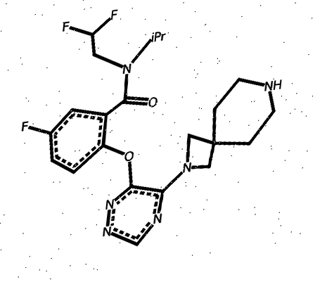 CC(C)N(CC(F)F)C(=O)c1cc(F)ccc1Oc1nncnc1N1CC2(CCNCC2)C1